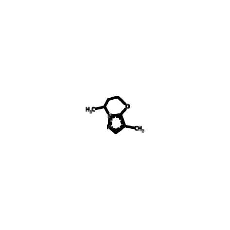 Cc1cnn2c1OCCC2C